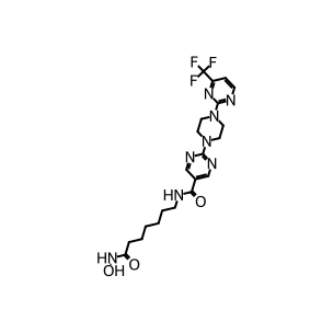 O=C(CCCCCCNC(=O)c1cnc(N2CCN(c3nccc(C(F)(F)F)n3)CC2)nc1)NO